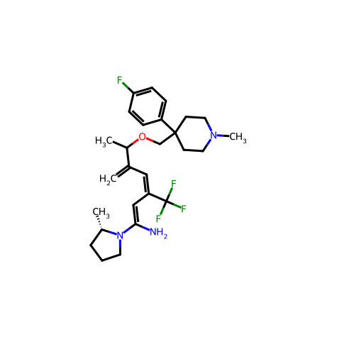 C=C(/C=C(\C=C(/N)N1CCC[C@@H]1C)C(F)(F)F)C(C)OCC1(c2ccc(F)cc2)CCN(C)CC1